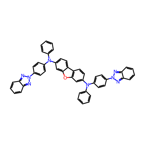 c1ccc(N(c2ccc(-n3nc4ccccc4n3)cc2)c2ccc3c(c2)oc2cc(N(c4ccccc4)c4ccc(-n5nc6ccccc6n5)cc4)ccc23)cc1